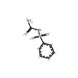 NC(=O)NS(=O)(=O)c1ccccc1